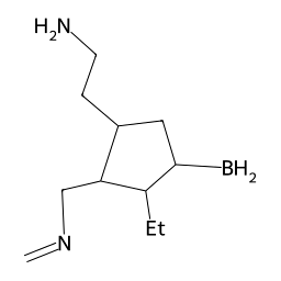 BC1CC(CCN)C(CN=C)C1CC